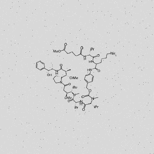 CC[C@@H](C)[C@H]([C@H](CC(=O)N1CCC[C@@H]1[C@@H](OC)[C@H](C)C(=O)N[C@@H](C)[C@H](O)c1ccccc1)OC)N(C)C(=O)[C@H](NC(=O)[C@@H](C(C)C)N(C)C(=O)OCc1ccc(NC(=O)C(CCCCN)NC(=O)[C@H](NC(=O)CCCC(=O)OC)C(C)C)cc1)C(C)C